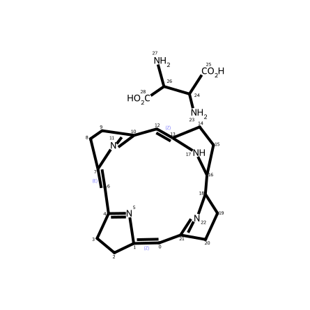 C1=C2/CCC(=N2)/C=C2\CCC(=N2)/C=C2/CCC(N2)C2CCC/1=N2.NC(C(=O)O)C(N)C(=O)O